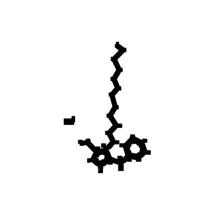 Br.CCCCCCCCCCCCn1c(CC)cnc1Nc1ccccc1